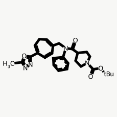 Cc1nnc(C2=CCC=C(CN(C(=O)C3CCN(C(=O)OC(C)(C)C)CC3)c3ccccc3)C=C2)o1